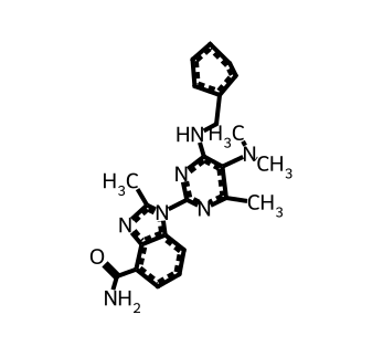 Cc1nc(-n2c(C)nc3c(C(N)=O)cccc32)nc(NCc2ccccc2)c1N(C)C